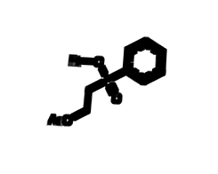 CCOP(=O)(CCOC(C)=O)c1ccccc1